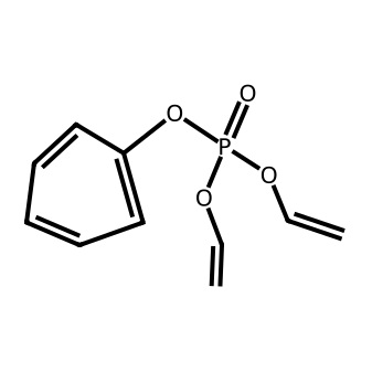 C=COP(=O)(OC=C)Oc1ccccc1